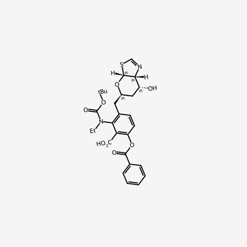 CCN(C(=O)OC(C)(C)C)c1c(C[C@@H]2C[C@@H](O)[C@H]3N=CS[C@H]3O2)ccc(OC(=O)c2ccccc2)c1C(=O)O